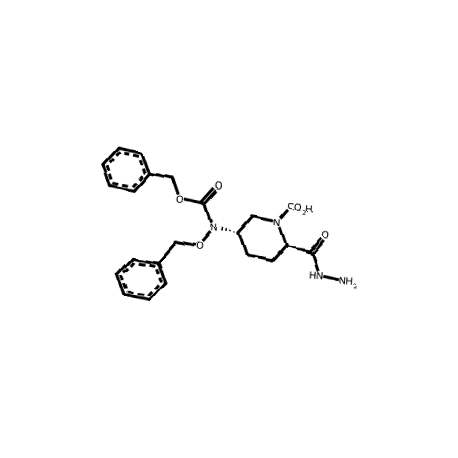 NNC(=O)[C@H]1CC[C@H](N(OCc2ccccc2)C(=O)OCc2ccccc2)CN1C(=O)O